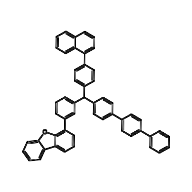 c1ccc(-c2ccc(-c3ccc(C(c4ccc(-c5cccc6ccccc56)cc4)c4cccc(-c5cccc6c5oc5ccccc56)c4)cc3)cc2)cc1